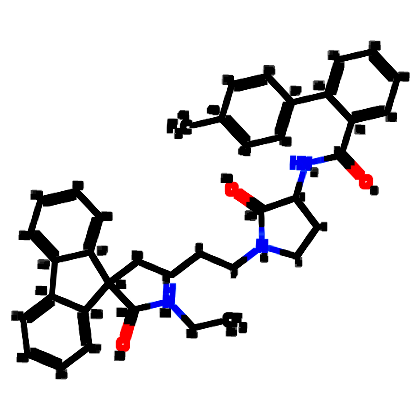 O=C(NC1CCN(CCCCC2(C(=O)NCC(F)(F)F)c3ccccc3-c3ccccc32)C1=O)c1ccccc1-c1ccc(C(F)(F)F)cc1